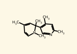 CC1=CC(C)(c2cnc(C)cc2C)N(C)C=C1